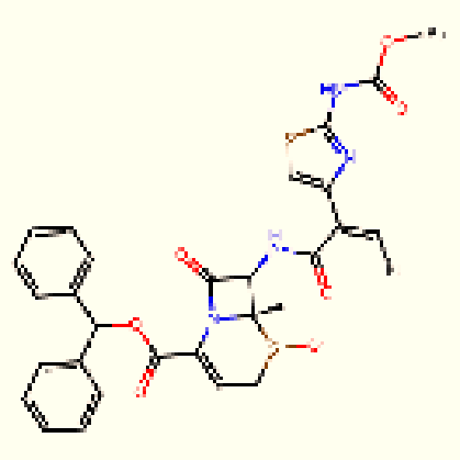 CC/C=C(\C(=O)N[C@@H]1C(=O)N2C(C(=O)OC(c3ccccc3)c3ccccc3)=CC[S+]([O-])[C@@H]12)c1csc(NC(=O)OC(C)(C)C)n1